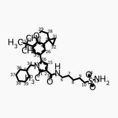 Cc1c(C(=O)NCCCCCS(N)(=O)=O)cc(-c2cc(C(C)(C)C)c3c(c2)C2(CCO3)CC2)n1CC1CCCCC1